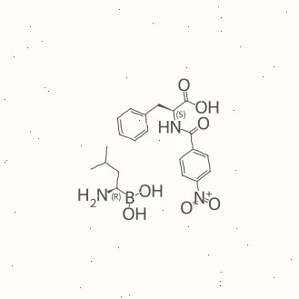 CC(C)C[C@H](N)B(O)O.O=C(N[C@@H](Cc1ccccc1)C(=O)O)c1ccc([N+](=O)[O-])cc1